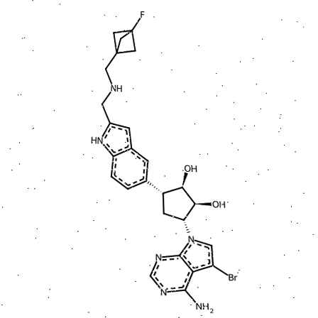 Nc1ncnc2c1c(Br)cn2[C@@H]1C[C@H](c2ccc3[nH]c(CNCC45CC(F)(C4)C5)cc3c2)[C@@H](O)[C@H]1O